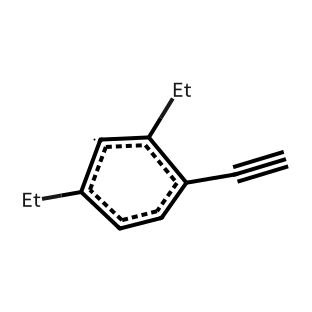 C#Cc1ccc(CC)[c]c1CC